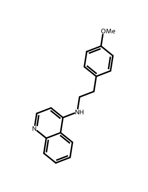 COc1ccc(CCNc2ccnc3ccccc23)cc1